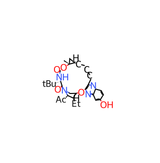 CC[C@@H]1[C@@H]2CN(C(=O)[C@H](C(C)(C)C)NC(=O)O[C@]3(C)C[C@H]3CCCCCc3nc4ccc(O)cc4nc3O2)[C@@H]1C(C)=O